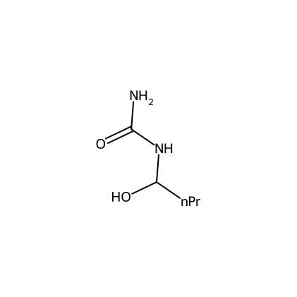 CCCC(O)NC(N)=O